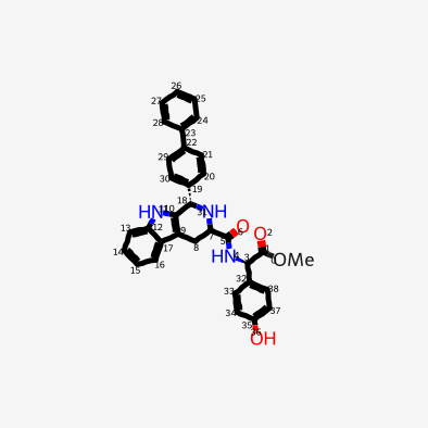 COC(=O)[C@H](NC(=O)C1Cc2c([nH]c3ccccc23)[C@H](c2ccc(-c3ccccc3)cc2)N1)c1ccc(O)cc1